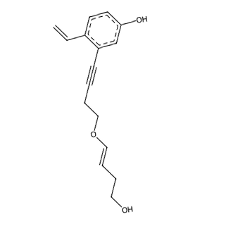 C=Cc1ccc(O)cc1C#CCCO/C=C/CCO